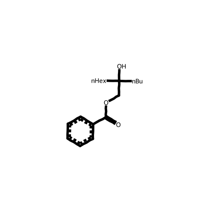 CCCCCCC(O)(CCCC)COC(=O)c1ccccc1